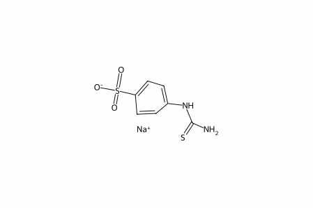 NC(=S)Nc1ccc(S(=O)(=O)[O-])cc1.[Na+]